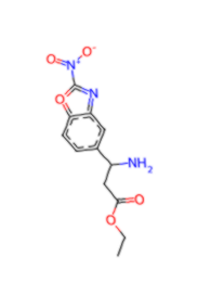 CCOC(=O)CC(N)c1ccc2oc([N+](=O)[O-])nc2c1